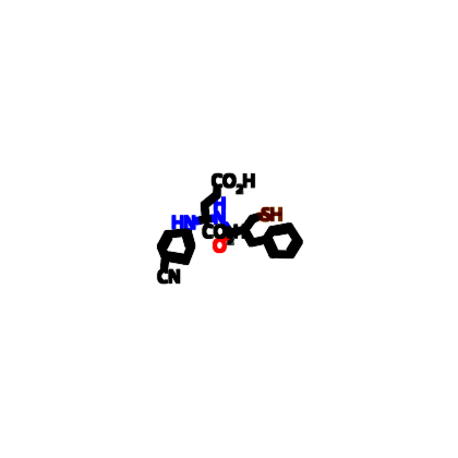 N#Cc1ccc(N[C@@](CCC(=O)O)(NC(=O)C(CS)Cc2ccccc2)C(=O)O)cc1